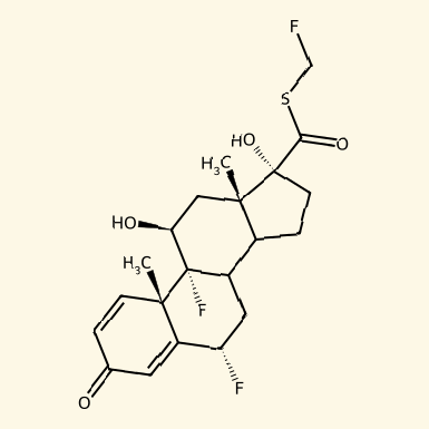 C[C@]12C=CC(=O)C=C1[C@@H](F)CC1C3CC[C@](O)(C(=O)SCF)[C@@]3(C)C[C@H](O)[C@@]12F